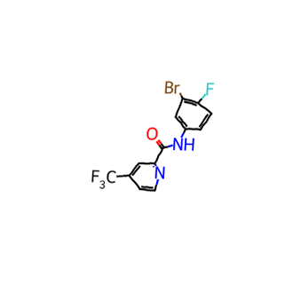 O=C(Nc1ccc(F)c(Br)c1)c1cc(C(F)(F)F)ccn1